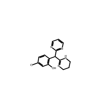 Oc1cc(Cl)ccc1C(C1=NCCCN1)c1ncccn1